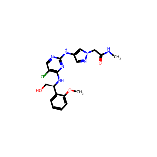 CNC(=O)Cn1cc(Nc2ncc(Cl)c(N[C@H](CO)c3ccccc3OC)n2)cn1